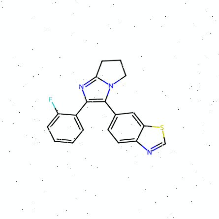 Fc1ccccc1-c1nc2n(c1-c1ccc3ncsc3c1)CCC2